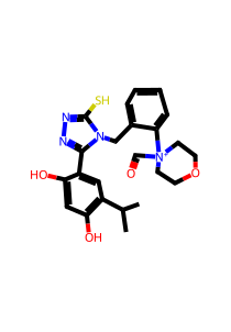 CC(C)c1cc(-c2nnc(S)n2Cc2ccccc2[N+]2(C=O)CCOCC2)c(O)cc1O